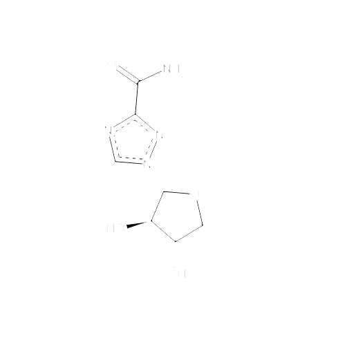 C[C@H]1O[C@@H](n2cnc(C(N)=O)n2)[C@H](O)[C@H]1O